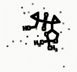 CC1(C)OCC(C2(S(=O)(=O)C3(CO)CC3)CC2)O1